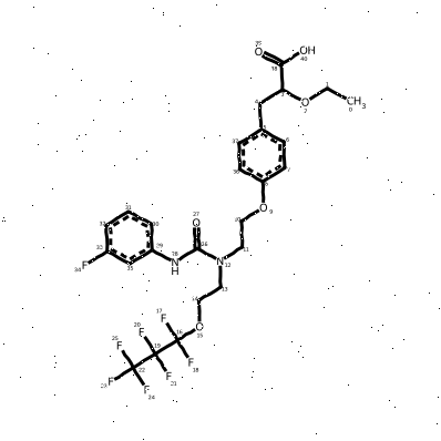 CCOC(Cc1ccc(OCCN(CCOC(F)(F)C(F)(F)C(F)(F)F)C(=O)Nc2cccc(F)c2)cc1)C(=O)O